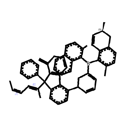 C=C1CC=CC2=C1C(/C(C)=C/C=C\C)(c1ccccc1)c1cccc(C3C=CC=C(B(c4c(C)ccc5c4C=C[C@@H](C)C5)c4c(C)ccc5ccccc45)C3)c12